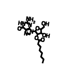 CCCCCCCC(=O)OC1C(O)C(CO)OC1n1cnc2c(=O)[nH]c(N)nc21